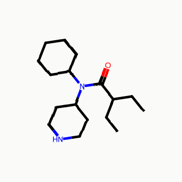 CCC(CC)C(=O)N(C1CCCCC1)C1CCNCC1